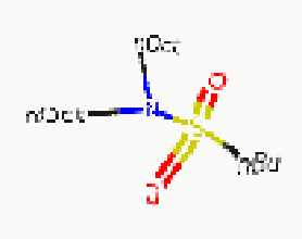 CCCCCCCCN(CCCCCCCC)S(=O)(=O)CCCC